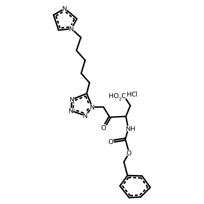 Cl.O=C(O)CC(NC(=O)OCc1ccccc1)C(=O)Cn1nnnc1CCCCCn1ccnc1